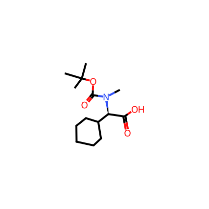 CN(C(=O)OC(C)(C)C)[C@@H](C(=O)O)C1CCCCC1